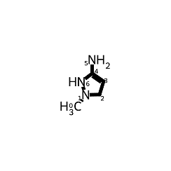 CN1CC=C(N)N1